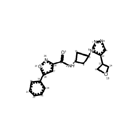 O=C(N[C@H]1C[C@H](n2nncc2C2COC2)C1)c1cc(-c2ccccc2)on1